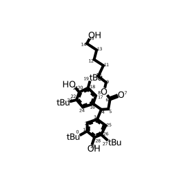 CC(C)(C)c1cc(C(CC(=O)OCCCCCCO)c2cc(C(C)(C)C)c(O)c(C(C)(C)C)c2)cc(C(C)(C)C)c1O